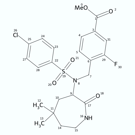 COC(=O)c1ccc(CN(C2CC(C)(C)CCNC2=O)S(=O)(=O)c2ccc(Cl)cc2)c(F)c1